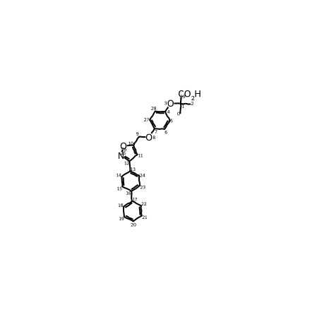 CC(C)(Oc1ccc(OCc2cc(-c3ccc(-c4ccccc4)cc3)no2)cc1)C(=O)O